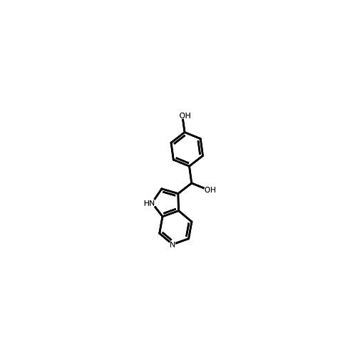 Oc1ccc(C(O)c2c[nH]c3cnccc23)cc1